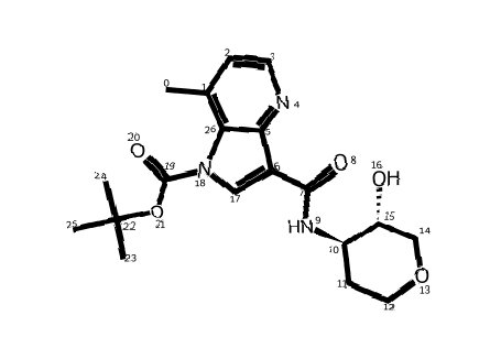 Cc1ccnc2c(C(=O)N[C@@H]3CCOC[C@H]3O)cn(C(=O)OC(C)(C)C)c12